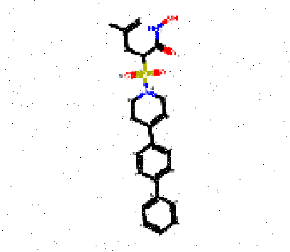 C=C(C)CC(C(=O)NO)S(=O)(=O)N1CC=C(c2ccc(-c3ccccc3)cc2)CC1